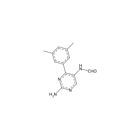 Cc1cc(C)cc(-c2nc(N)ncc2NC=O)c1